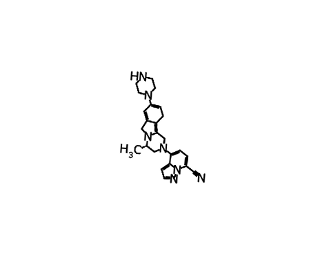 C[C@@H]1CN(c2ccc(C#N)n3nccc23)CC2=C3CC=C(N4CCNCC4)C=C3CN21